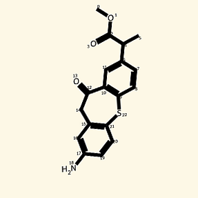 COC(=O)C(C)c1ccc2c(c1)C(=O)Cc1cc(N)ccc1S2